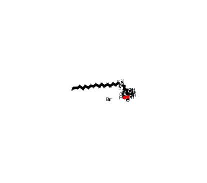 CCCCCCCCCCCCCCCCCC[N+](C)(C)CCCC(P(=O)(O)O)(P(=O)(O)O)P(=O)(O)O.[Br-]